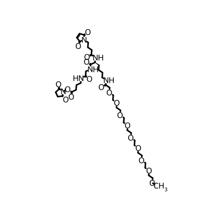 COCCOCCOCCOCCOCCOCCOCCOCCOCC(=O)NCCCC[C@H](NC(=O)CCCN1C(=O)C=CC1=O)C(=O)NCC(=O)NCCCC(=O)ON1C(=O)CCC1=O